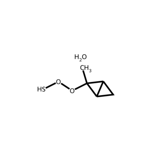 CC1(OOS)C2CC21.O